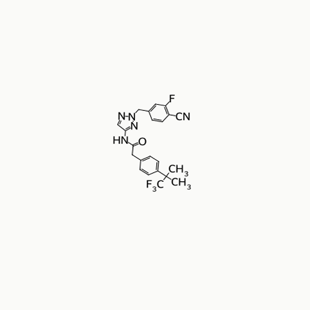 CC(C)(c1ccc(CC(=O)Nc2cnn(Cc3ccc(C#N)c(F)c3)n2)cc1)C(F)(F)F